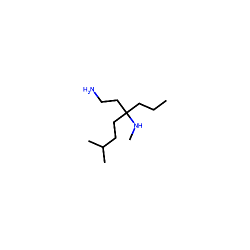 CCCC(CCN)(CCC(C)C)NC